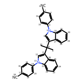 [C-]#[N+]c1ccc(-n2cc(C(C)(C)c3cn(-c4ccc(C#N)cc4)c4ccccc34)c3ccccc32)cc1